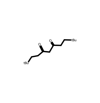 CC(C)(C)CCC(=O)CC(=O)CCC(C)(C)C